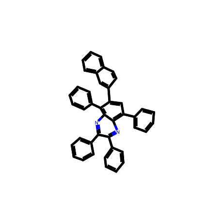 c1ccc(-c2nc3c(-c4ccccc4)cc(-c4ccc5ccccc5c4)c(-c4ccccc4)c3nc2-c2ccccc2)cc1